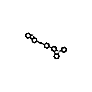 C(#Cc1ccc2c(c1)oc1ccccc12)c1ccc(-c2ccc3c(c2)C2C=CC=CC2N3c2ccccc2)cc1